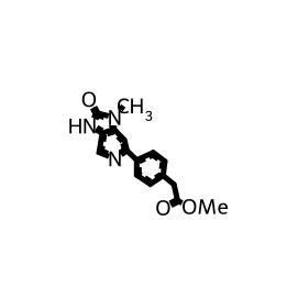 COC(=O)Cc1ccc(-c2cc3c(cn2)[nH]c(=O)n3C)cc1